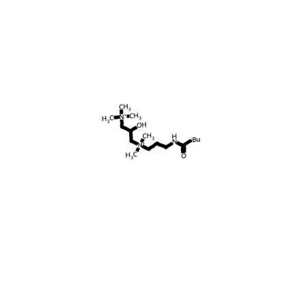 CCC(C)C(=O)NCCC[N+](C)(C)CC(O)C[N+](C)(C)C